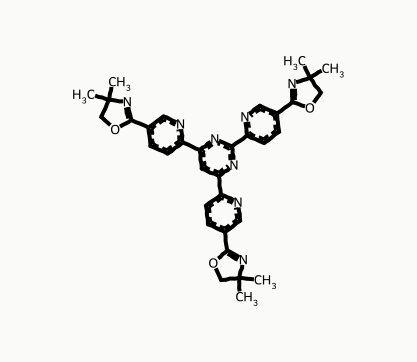 CC1(C)COC(c2ccc(-c3cc(-c4ccc(C5=NC(C)(C)CO5)cn4)nc(-c4ccc(C5=NC(C)(C)CO5)cn4)n3)nc2)=N1